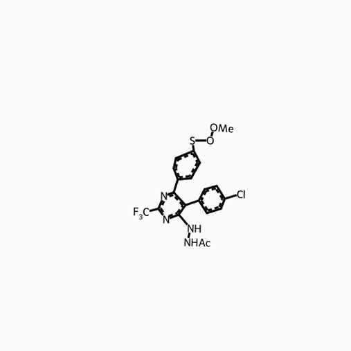 COOSc1ccc(-c2nc(C(F)(F)F)nc(NNC(C)=O)c2-c2ccc(Cl)cc2)cc1